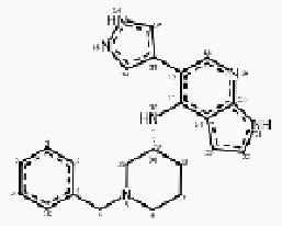 c1ccc(CN2CCC[C@@H](Nc3c(-c4cn[nH]c4)cnc4[nH]ccc34)C2)cc1